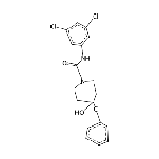 O=C(Nc1cc(Cl)cc(Cl)c1)N1CCC(O)(Cc2ccccc2)CC1